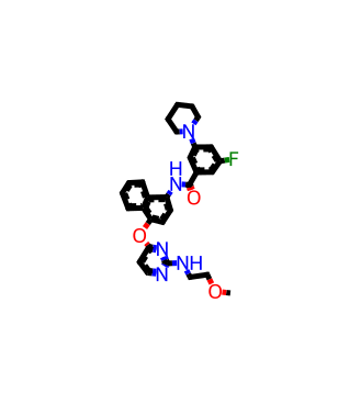 COCCNc1nccc(Oc2ccc(NC(=O)c3cc(F)cc(N4CCCCC4)c3)c3ccccc23)n1